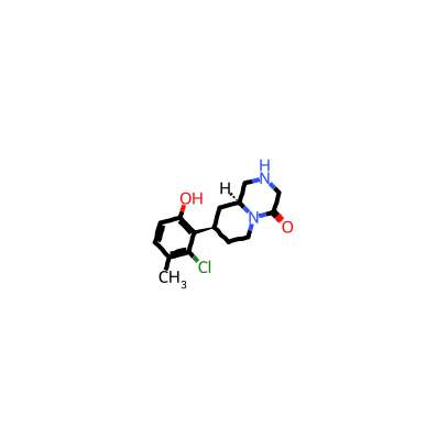 Cc1ccc(O)c([C@@H]2CCN3C(=O)CNC[C@@H]3C2)c1Cl